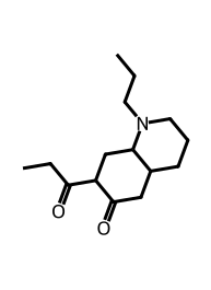 CCCN1CCCC2CC(=O)C(C(=O)CC)CC21